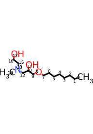 CCCCCCCCOCC(O)CN(C)CCO